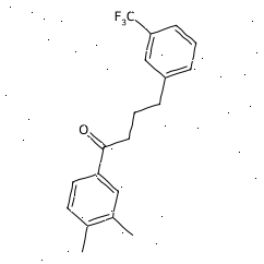 Cc1ccc(C(=O)CCCc2cccc(C(F)(F)F)c2)cc1C